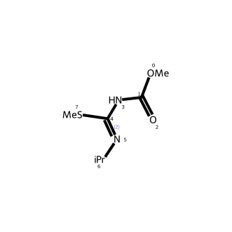 COC(=O)N/C(=N/C(C)C)SC